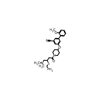 COc1ccccc1-c1cc(C#N)cc(OC2CCN(C(=O)CC(CN(C)C)SCP)CC2)c1